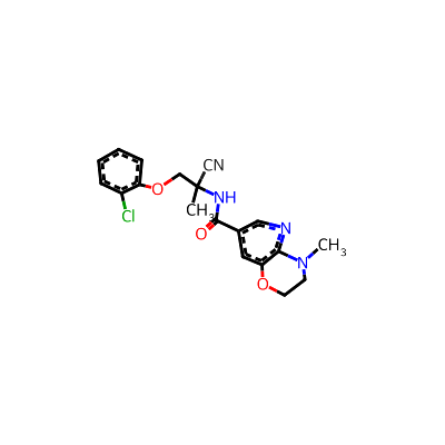 CN1CCOc2cc(C(=O)NC(C)(C#N)COc3ccccc3Cl)cnc21